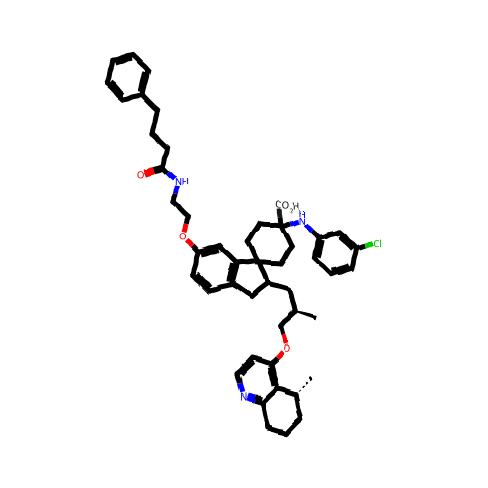 C[C@@H](COc1ccnc2c1[C@H](C)CCC2)CC1Cc2ccc(OCCNC(=O)CCCc3ccccc3)cc2C12CCC(Nc1cccc(Cl)c1)(C(=O)O)CC2